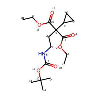 CCOC(=O)C(CCNC(=O)OC(C)(C)C)(C(=O)OCC)C1CC1